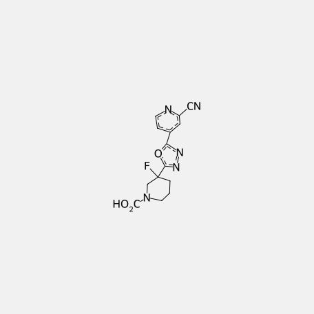 N#Cc1cc(-c2nnc(C3(F)CCCN(C(=O)O)C3)o2)ccn1